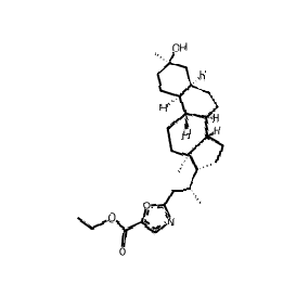 CCOC(=O)c1cnc(C[C@@H](C)[C@H]2CC[C@H]3[C@@H]4CC[C@@H]5C[C@](C)(O)CC[C@@H]5[C@H]4CC[C@]23C)o1